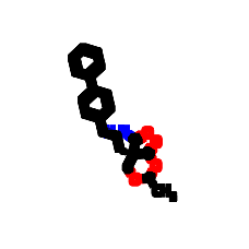 C[C@H]1OC[C@@](C[CH]Cc2ccc(-c3ccccc3)cc2)(C(N)=O)C(=O)O1